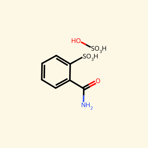 NC(=O)c1ccccc1S(=O)(=O)O.O=S(=O)(O)O